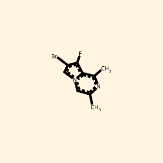 Cc1cn2cc(Br)c(F)c2c(C)n1